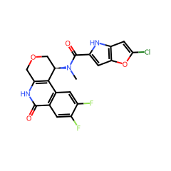 CN(C(=O)c1cc2oc(Cl)cc2[nH]1)[C@@H]1COCc2[nH]c(=O)c3cc(F)c(F)cc3c21